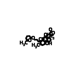 C[C@@H]1CCC[C@H](OCCC[C@]2(C)C3C[C@@H](O)[C@]4(C)[C@@H](C5=CC(=O)OC5)CC[C@]4(O)C3CC[C@@H]2C)O1